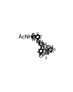 CC(=O)Nc1nc2c(Oc3cc(-c4ccc(C(F)(F)F)cc4NC(=O)[C@]4(C)CCCN4C(C)C)ncn3)cccc2s1